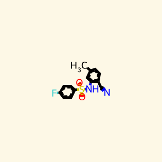 Cc1ccc(C#N)c(NS(=O)(=O)c2ccc(F)cc2)c1